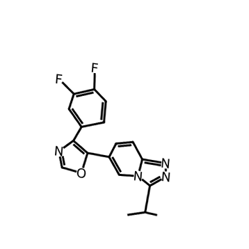 CC(C)c1nnc2ccc(-c3ocnc3-c3ccc(F)c(F)c3)cn12